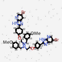 COc1ccc(CN(CCOc2ccc(-c3nc4cc(Br)cnc4[nH]3)cc2)N(CCOc2ccc(-c3nc4cc(Br)cnc4[nH]3)cc2)Cc2cccc(OC)c2)cc1